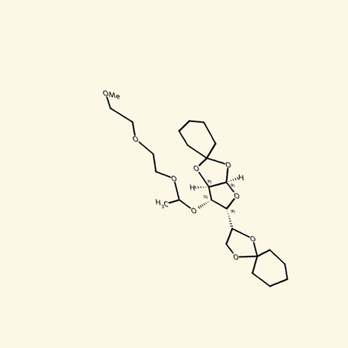 COCCOCCOC(C)O[C@@H]1[C@H]2OC3(CCCCC3)O[C@H]2O[C@@H]1C1COC2(CCCCC2)O1